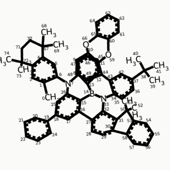 Cc1cc2c(cc1N1c3cc4c(cc3B3c5c(cc(-c6ccccc6)cc51)-c1ccc5c(c1N3c1ccc(C(C)(C)C)cc1-c1ccccc1)C(C)(C)c1ccccc1-5)Oc1ccccc1O4)C(C)(C)CCC2(C)C